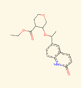 CCOC(=O)C1CCOCC1OC(C)c1ccc2[nH]c(=O)ccc2c1